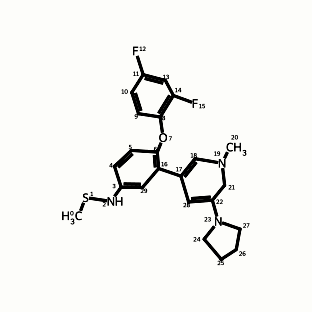 CSNc1ccc(Oc2ccc(F)cc2F)c(C2=CN(C)CC(N3CCCC3)=C2)c1